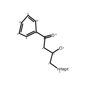 CCCCCCCCC(Cl)CC(=O)c1ccccc1